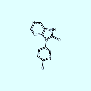 O=c1[nH]c2cnccc2n1-c1ccc(Cl)nc1